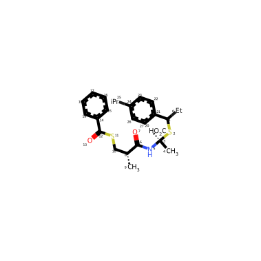 CCC(S[C@@](C)(NC(=O)[C@H](C)CSC(=O)c1ccccc1)C(=O)O)c1ccc(C(C)C)cc1